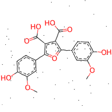 COc1cc(-c2oc(-c3ccc(O)c(OC)c3)c(C(=O)O)c2C(=O)O)ccc1O